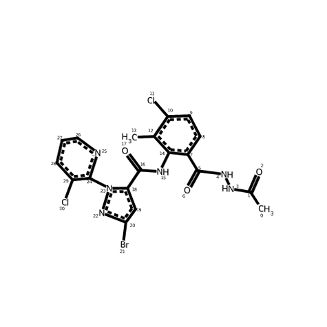 CC(=O)NNC(=O)c1ccc(Cl)c(C)c1NC(=O)c1cc(Br)nn1-c1ncccc1Cl